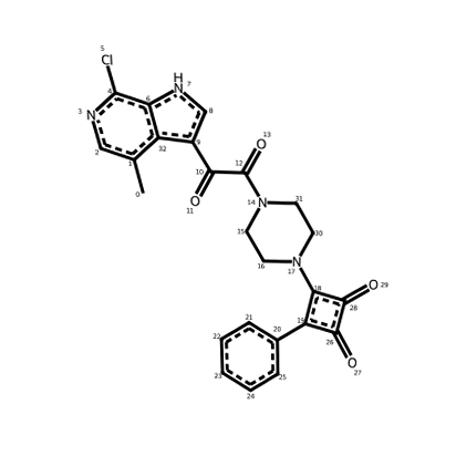 Cc1cnc(Cl)c2[nH]cc(C(=O)C(=O)N3CCN(c4c(-c5ccccc5)c(=O)c4=O)CC3)c12